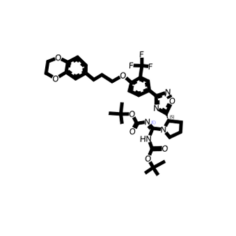 CC(C)(C)OC(=O)/N=C(\NC(=O)OC(C)(C)C)N1CCC[C@H]1c1nc(-c2ccc(OCCCc3ccc4c(c3)OCCO4)c(C(F)(F)F)c2)no1